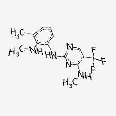 CNc1nc(Nc2cccc(C)c2NC)ncc1C(F)(F)F